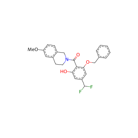 COc1ccc2c(c1)CCN(C(=O)c1c(O)cc(C(F)F)cc1OCc1ccccc1)C2